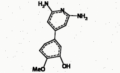 COc1ccc(-c2cc(N)nc(N)c2)cc1O